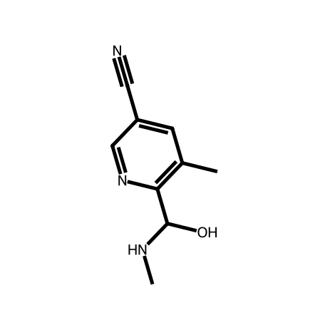 CNC(O)c1ncc(C#N)cc1C